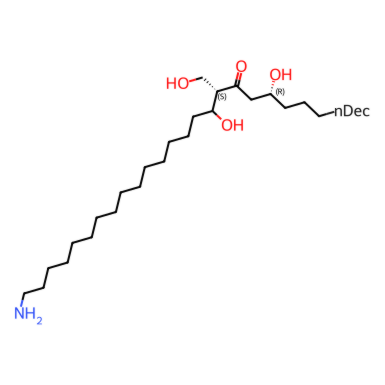 CCCCCCCCCCCCC[C@@H](O)CC(=O)[C@@H](CO)C(O)CCCCCCCCCCCCCCCN